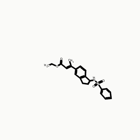 CCOC(=O)C=C(C)c1ccc2c(c1)CCC2NS(=O)(=O)c1ccccc1